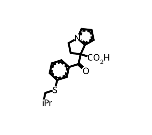 CC(C)CSc1cccc(C(=O)C2(C(=O)O)CCn3cccc32)c1